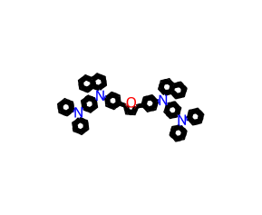 c1ccc(N(c2ccccc2)c2ccc(N(c3ccc(-c4ccc(-c5ccc(N(c6ccc(N(c7ccccc7)c7ccccc7)cc6)c6cccc7ccccc67)cc5)o4)cc3)c3cccc4ccccc34)cc2)cc1